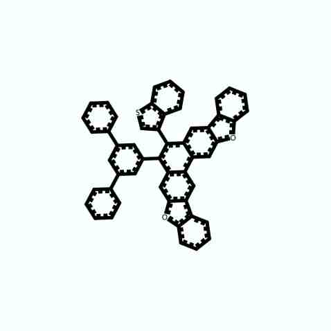 c1ccc(-c2cc(-c3ccccc3)cc(-c3c(-c4csc5ccccc45)c4cc5c(cc4c4cc6c(cc34)oc3ccccc36)oc3ccccc35)c2)cc1